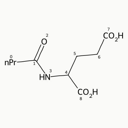 CCCC(=O)NC(CCC(=O)O)C(=O)O